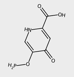 O=C(O)c1cc(=O)c(OP)c[nH]1